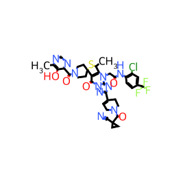 Cc1ncnc(C(=O)N2CCC3(CC2)SC(C)c2c3c(=O)n3nc(C4=CCN(C(=O)C5(C#N)CC5)CC4)nc3n2CC(=O)Nc2ccc(C(F)(F)F)cc2Cl)c1O